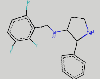 Fc1ccc(F)c(CNC2CCNC2c2ccccc2)c1F